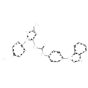 Cc1ccc(-n2nc(C(C)(C)C)cc2NC(=O)Nc2ccc(-n3cnc4ccccc43)cc2)cc1